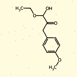 CCOC(O)C(=O)Cc1ccc(OC)cc1